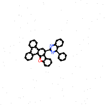 c1ccc(-c2nc(-c3cc4c5ccccc5c5ccccc5c4c4oc5ccccc5c34)nc3ccccc23)cc1